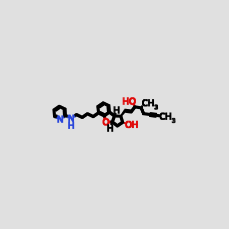 CC#CC[C@@H](C)[C@H](O)/C=C/[C@@H]1[C@H]2c3cccc(CCCCNc4ccccn4)c3O[C@H]2C[C@H]1O